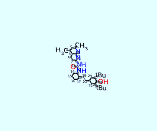 Cc1cc(C)c2ccc(NC(=O)Nc3ccccc3CCc3cc(C(C)(C)C)c(O)c(C(C)(C)C)c3)nc2n1